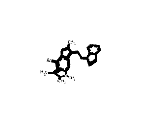 CC1=Cc2c(Br)c3c(cc2=C1CCC1C=Cc2ccccc21)N(C)C(C)C=3C